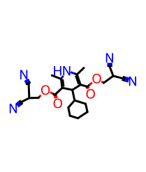 CC1=C(C(=O)OCC(C#N)C#N)C(C2CCCCC2)C(C(=O)OCC(C#N)C#N)=C(C)N1